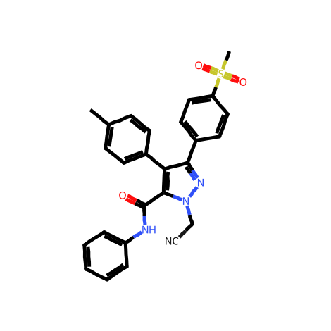 Cc1ccc(-c2c(-c3ccc(S(C)(=O)=O)cc3)nn(CC#N)c2C(=O)Nc2ccccc2)cc1